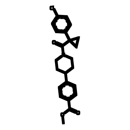 COC(=O)c1ccc(C2CCN(C(=O)C3(c4ccc(Cl)cc4)CC3)CC2)cc1